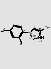 Cc1cc(Cl)ccc1N1C=C(O)NN1